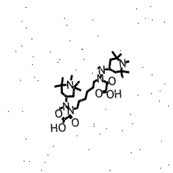 CN(C1CC(C)(C)N(C)C(C)(C)C1)N(CCCCCCN(C(=O)C(=O)O)N(C)C1CC(C)(C)N(C)C(C)(C)C1)C(=O)C(=O)O